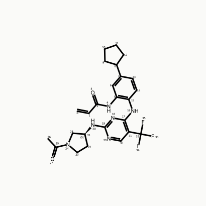 C=CC(=O)Nc1cc(C2CCCC2)ccc1Nc1nc(N[C@H]2CCN(C(C)=O)C2)ncc1C(F)(F)F